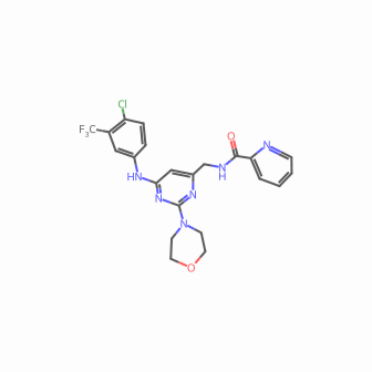 O=C(NCc1cc(Nc2ccc(Cl)c(C(F)(F)F)c2)nc(N2CCOCC2)n1)c1ccccn1